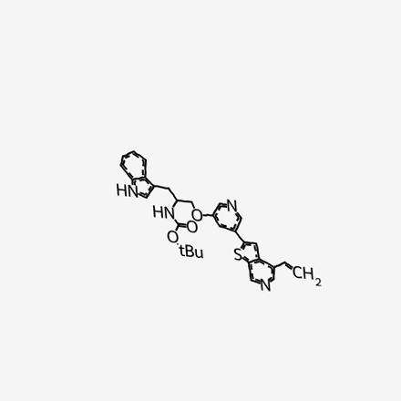 C=Cc1cncc2sc(-c3cncc(OCC(Cc4c[nH]c5ccccc45)NC(=O)OC(C)(C)C)c3)cc12